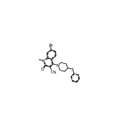 Cn1c(=O)c(C#N)c(N2CCC(Sc3ccccc3)CC2)c2ccc(Br)cc21